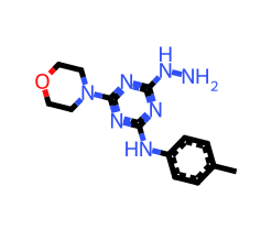 Cc1ccc(Nc2nc(NN)nc(N3CCOCC3)n2)cc1